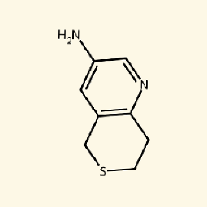 Nc1cnc2c(c1)CSCC2